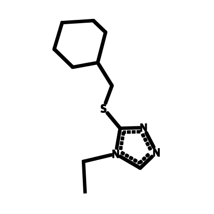 CCn1cnnc1SCC1CCCCC1